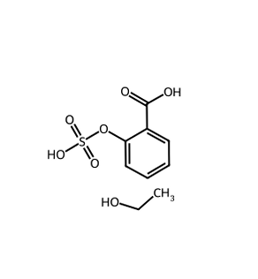 CCO.O=C(O)c1ccccc1OS(=O)(=O)O